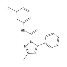 Cc1cc(-c2ccccc2)n(C(=S)Nc2cccc(Cl)c2)n1